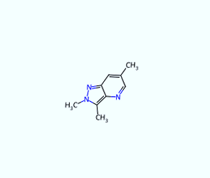 Cc1cnc2c(C)n(C)nc2c1